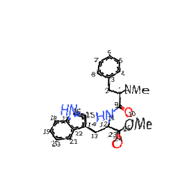 CNC(Cc1ccccc1)C(=O)NC(Cc1c[nH]c2ccccc12)C(=O)OC